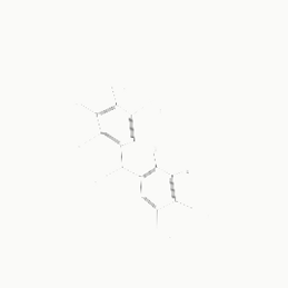 Cc1cc(C(C)c2cc(C)c(C)c(Br)c2Br)c(Br)c(Br)c1C